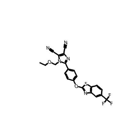 CCOCn1c(-c2ccc(Oc3nc4cc(C(F)(F)F)ccc4s3)cc2)nc(C#N)c1C#N